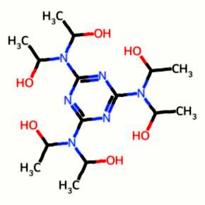 CC(O)N(c1nc(N(C(C)O)C(C)O)nc(N(C(C)O)C(C)O)n1)C(C)O